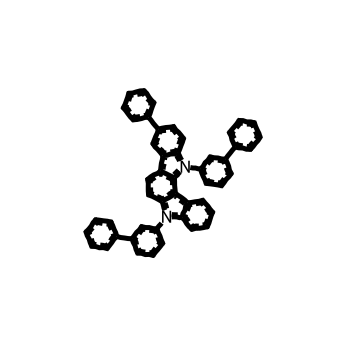 c1ccc(-c2cccc(-n3c4ccccc4c4c3ccc3c5cc(-c6ccccc6)ccc5n(-c5cccc(-c6ccccc6)c5)c34)c2)cc1